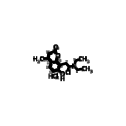 CCN(CC)C(Cl)Cc1c(O)ccc2c(C)cc(=O)oc12.Cl